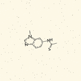 CC(=S)Nc1ccc2ncn(C)c2c1